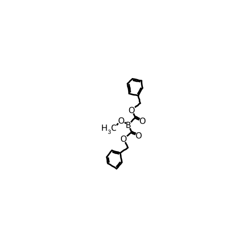 COB(C(=O)OCc1ccccc1)C(=O)OCc1ccccc1